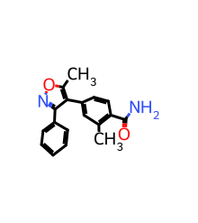 Cc1cc(-c2c(-c3ccccc3)noc2C)ccc1C(N)=O